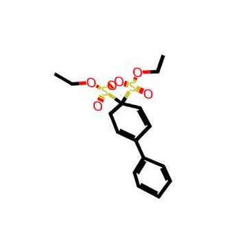 CCOS(=O)(=O)C1(S(=O)(=O)OCC)C=CC(c2ccccc2)=CC1